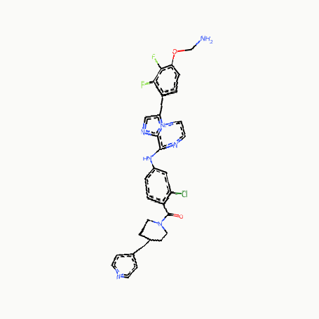 NCOc1ccc(-c2cnc3c(Nc4ccc(C(=O)N5CCC(c6ccncc6)CC5)c(Cl)c4)nccn23)c(F)c1F